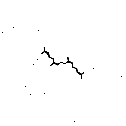 CC(C)=C[CH]CC=C(C)CCC=C(C)CCC=C(C)C